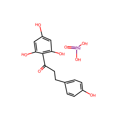 O=C(CCc1ccc(O)cc1)c1c(O)cc(O)cc1O.O=[PH](O)O